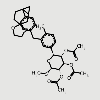 CS[C@H]1O[C@@H](c2ccc(C)c(Cc3ccc(C45CCC6(CC4C5)OCCO6)cc3)c2)[C@H](OC(C)=O)[C@@H](OC(C)=O)[C@@H]1OC(C)=O